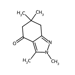 Cc1c2c(nn1C)CC(C)(C)CC2=O